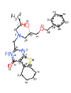 CCCN(Cc1nc2sc3c(c2c(=O)[nH]1)CCCC3)C[C@H](O)COCc1ccccc1